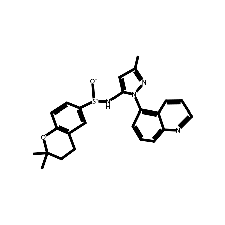 Cc1cc(N[S+]([O-])c2ccc3c(c2)CCC(C)(C)O3)n(-c2cccc3ncccc23)n1